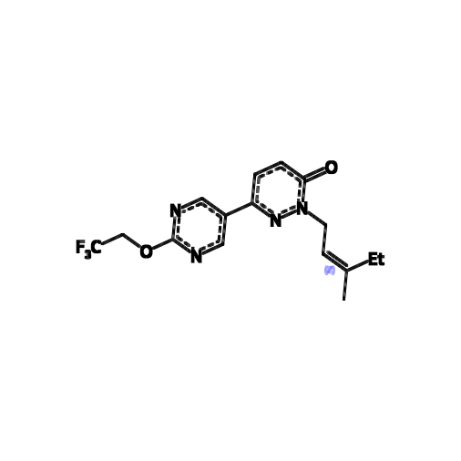 CC/C(C)=C\Cn1nc(-c2cnc(OCC(F)(F)F)nc2)ccc1=O